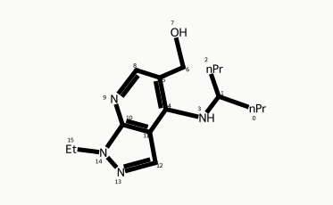 CCCC(CCC)Nc1c(CO)cnc2c1cnn2CC